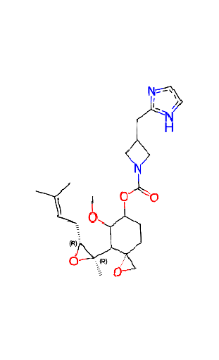 COC1C(OC(=O)N2CC(Cc3ncc[nH]3)C2)CCC2(CO2)C1[C@@]1(C)O[C@@H]1CC=C(C)C